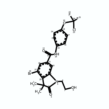 CC1(C)C(=O)N(CCO)c2cc(C(=O)Nc3ccc(OC(F)(F)Cl)cc3)cc(Br)c21